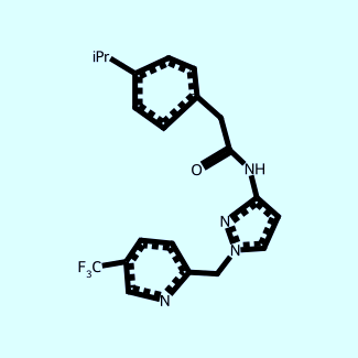 CC(C)c1ccc(CC(=O)Nc2ccn(Cc3ccc(C(F)(F)F)cn3)n2)cc1